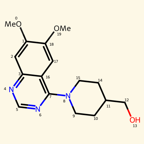 COc1cc2ncnc(N3CCC(CO)CC3)c2cc1OC